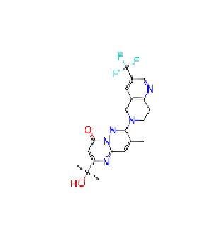 Cc1cc2nc(C(C)(C)O)cc(=O)n2nc1N1CCc2ncc(C(F)(F)F)cc2C1